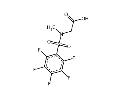 CN(CC(=O)O)S(=O)(=O)c1c(F)c(F)c(F)c(F)c1F